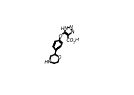 O=C(O)c1nn[nH]c1Oc1ccc(C2CNCCO2)cc1